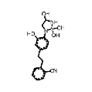 N#Cc1ccccc1CCc1ccc(N2CC(O)NS2(O)O)c(O)c1